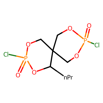 CCCC1OP(=O)(Cl)OCC12COP(=O)(Cl)OC2